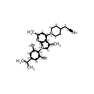 Cc1cc(N2CCC(CC#N)CC2)c2c(C)cn(-c3c(Br)cc(C(C)C)cc3Br)c2n1